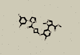 COC(=O)c1cnn(C)c1-c1cc(OC2CN(C(=O)N3N=CC[C@H]3c3cc(F)cc(F)c3)C2)c(F)cn1